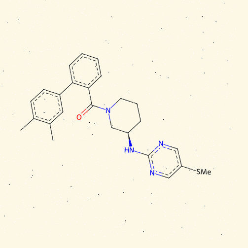 CSc1cnc(N[C@@H]2CCCN(C(=O)c3ccccc3-c3ccc(C)c(C)c3)C2)nc1